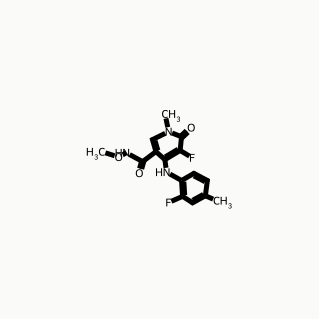 CONC(=O)c1cn(C)c(=O)c(F)c1Nc1ccc(C)cc1F